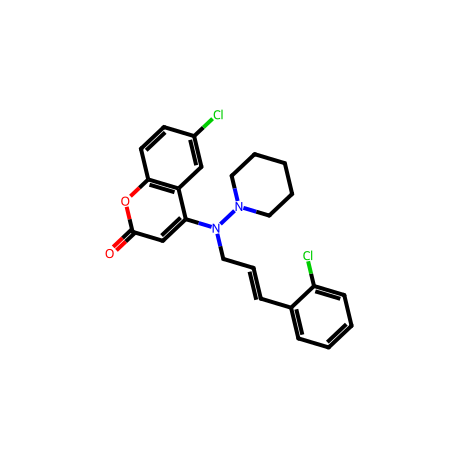 O=c1cc(N(CC=Cc2ccccc2Cl)N2CCCCC2)c2cc(Cl)ccc2o1